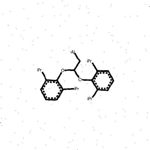 CC(C)c1cccc(C(C)C)c1OC([CH2][Al])Oc1c(C(C)C)cccc1C(C)C